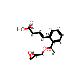 C[C@@H](OCC1CO1)c1ccccc1C=CCC(=O)O